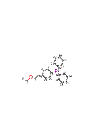 C=COCC.c1ccc(P(c2ccccc2)c2ccccc2)cc1